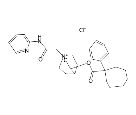 O=C(C[N+]12CCC(CC1)C(OC(=O)C1(c3ccccc3)CCCCCC1)C2)Nc1ccccn1.[Cl-]